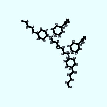 CCCCC[C@H]1CC[C@H](C(CCOCCC([C@H]2CC[C@H](C#N)CC2)[C@H]2CC[C@H](CCCCC)CC2)[C@H]2CC[C@H](C#N)CC2)CC1